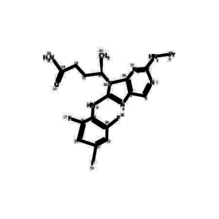 CC(C)Nc1ncc2nc(Nc3c(F)cc(F)cc3F)n([C@H](C)CCC(N)=O)c2n1